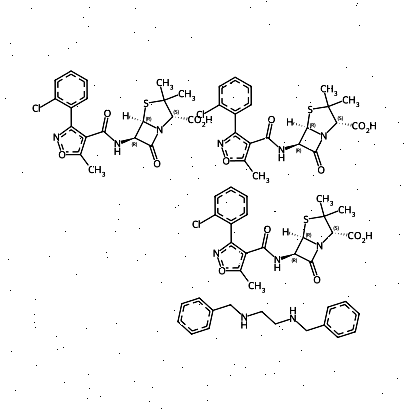 Cc1onc(-c2ccccc2Cl)c1C(=O)N[C@@H]1C(=O)N2[C@@H]1SC(C)(C)[C@@H]2C(=O)O.Cc1onc(-c2ccccc2Cl)c1C(=O)N[C@@H]1C(=O)N2[C@@H]1SC(C)(C)[C@@H]2C(=O)O.Cc1onc(-c2ccccc2Cl)c1C(=O)N[C@@H]1C(=O)N2[C@@H]1SC(C)(C)[C@@H]2C(=O)O.c1ccc(CNCCNCc2ccccc2)cc1